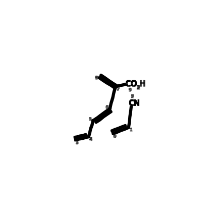 C=CC#N.C=CC=CC(=C)C(=O)O